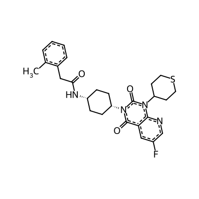 Cc1ccccc1CC(=O)N[C@H]1CC[C@@H](n2c(=O)c3cc(F)cnc3n(C3CCSCC3)c2=O)CC1